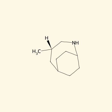 C[C@@H]1CNC2CCC(CC2)C1